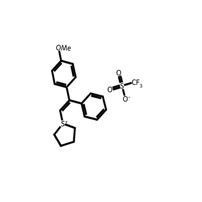 COc1ccc(C(=C[S+]2CCCC2)c2ccccc2)cc1.O=S(=O)([O-])C(F)(F)F